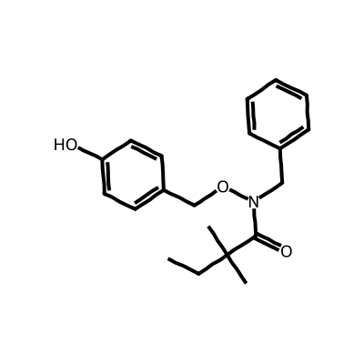 CCC(C)(C)C(=O)N(Cc1ccccc1)OCc1ccc(O)cc1